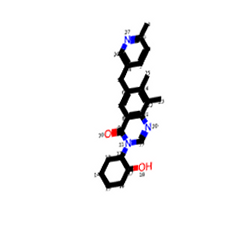 Cc1ccc(Cc2cc3c(=O)n(C4CCCCC4O)cnc3c(C)c2C)cn1